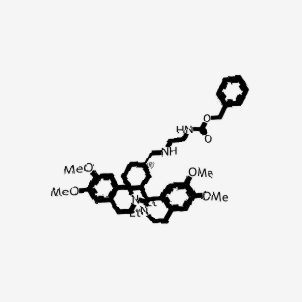 CCN1CCc2cc(OC)c(OC)cc2C1C1C[C@H](CNCCNC(=O)OCc2ccccc2)CCC12c1cc(OC)c(OC)cc1CCN2CC